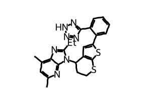 CCc1nc2c(C)cc(C)nc2n1C1CCSc2sc(-c3ccccc3-c3nn[nH]n3)cc21